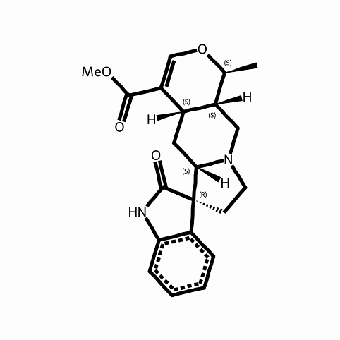 COC(=O)C1=CO[C@@H](C)[C@@H]2CN3CC[C@]4(C(=O)Nc5ccccc54)[C@@H]3C[C@H]12